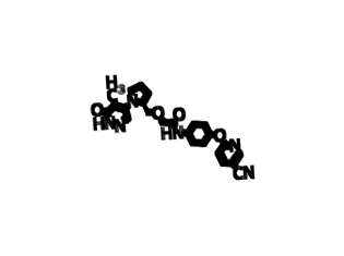 Cc1c(N2CCC[C@H]2COCC(=O)NC2CCC(Oc3ccc(C#N)cn3)CC2)cn[nH]c1=O